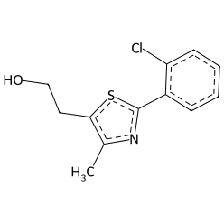 Cc1nc(-c2ccccc2Cl)sc1CCO